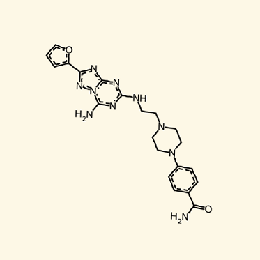 NC(=O)c1ccc(N2CCN(CCNc3nc(N)n4nc(-c5ccco5)nc4n3)CC2)cc1